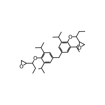 CCC(Oc1c(C(C)C)cc(Cc2cc(C(C)C)c(OC(CC)C3CO3)c(C(C)C)c2)cc1C(C)C)C1CO1